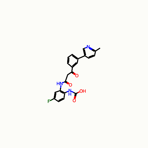 Cc1ccc(-c2cccc(C(=O)CC(=O)Nc3cc(F)ccc3NC(=O)O)c2)cn1